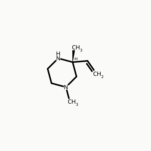 C=C[C@]1(C)CN(C)CCN1